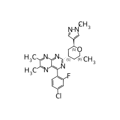 Cc1nc2nc([C@H]3C[C@@H](C)O[C@H](c4cnn(C)c4)C3)nc(-c3ccc(Cl)cc3F)c2nc1C